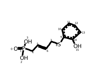 O=P(O)(O)CC=CCSc1ccccc1O